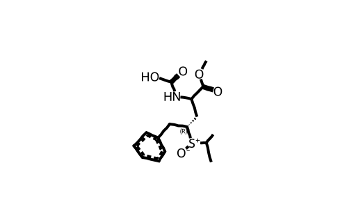 COC(=O)C(C[C@@H](Cc1ccccc1)[S+]([O-])C(C)C)NC(=O)O